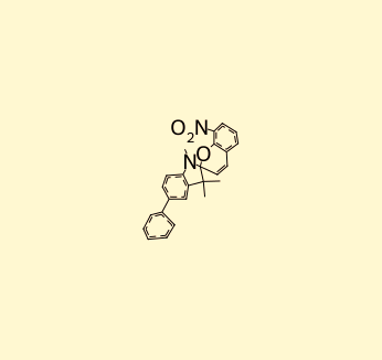 CN1c2ccc(-c3ccccc3)cc2C(C)(C)C12C=Cc1cccc([N+](=O)[O-])c1O2